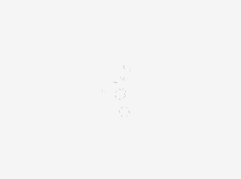 O=C(I)CNC(=O)c1ncc(-c2cccc(Cl)c2)cc1O